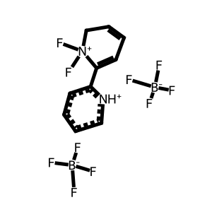 F[B-](F)(F)F.F[B-](F)(F)F.F[N+]1(F)CC=CC=C1c1cccc[nH+]1